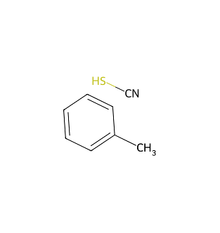 Cc1ccccc1.N#CS